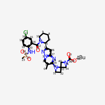 Cc1cn2nc([C@@H]3CCCCN3C(=O)c3cc(Cl)ccc3NS(C)(=O)=O)cc2nc1N1CCC12CN(C(=O)OC(C)(C)C)C2